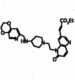 CCOC(=O)/C=C/c1cnc2ccc(=O)n(CCN3CCC(NCc4cc5c(cn4)OCCO5)CC3)c2c1